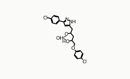 O=COC(Cc1cc(-c2ccc(Cl)cc2)n[nH]1)CC(O)COc1ccc(Cl)cc1